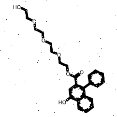 O=C(OCCOCCOCCOCCO)c1cc(O)c2ccccc2c1-c1ccccc1